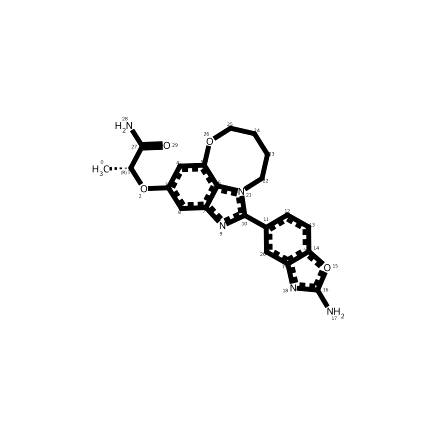 C[C@@H](Oc1cc2c3c(c1)nc(-c1ccc4oc(N)nc4c1)n3CCCCO2)C(N)=O